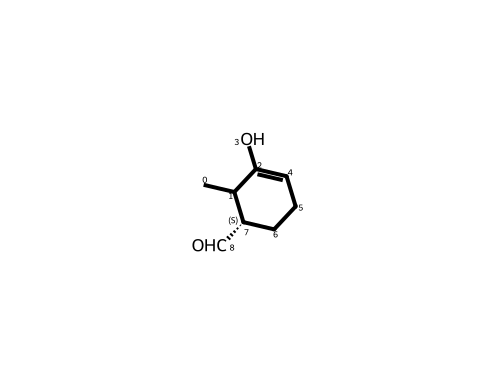 CC1C(O)=CCC[C@@H]1C=O